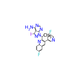 CC(c1nc2ccc(F)cc2cc1-c1cncc(F)c1)n1nc(I)c2c(N)ncnc21